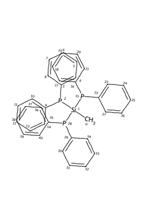 C[Si](P(c1ccccc1)c1ccccc1)(P(c1ccccc1)c1ccccc1)P(c1ccccc1)c1ccccc1